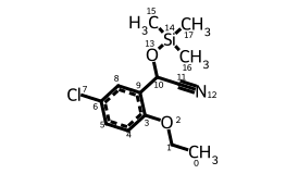 CCOc1ccc(Cl)cc1C(C#N)O[Si](C)(C)C